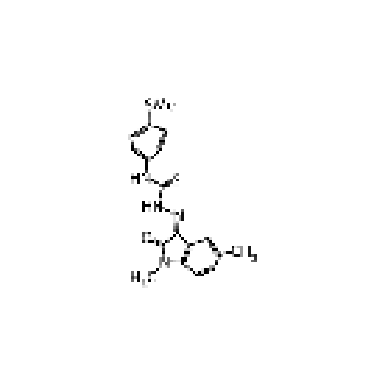 CSc1ccc(NC(=S)N/N=C2\C(=O)N(C)c3ccc(C)cc32)cc1